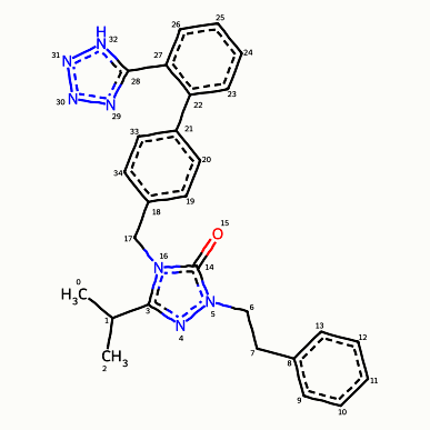 CC(C)c1nn(CCc2ccccc2)c(=O)n1Cc1ccc(-c2ccccc2-c2nnn[nH]2)cc1